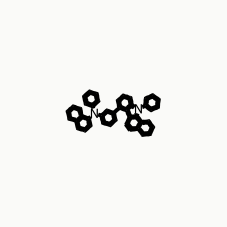 c1c2ccccc2c2c(c#1)c1c(-c3cccc(N(c4ccccc4)c4cccc5ccccc45)c3)cccc1n2-c1ccccc1